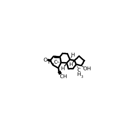 C#CC1CC(=O)C=C2CC[C@H]3[C@@H]4CC[C@H](O)[C@@]4(C)CC[C@@H]3[C@]21C